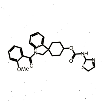 COc1ccccc1C(=O)NCC1(c2ccccc2)CCC(OC(=O)NC2N=CCS2)CC1